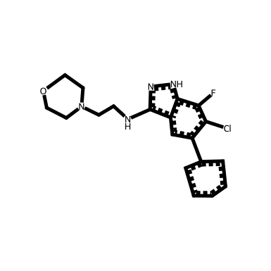 Fc1c(Cl)c(-c2ccccc2)cc2c(NCCN3CCOCC3)n[nH]c12